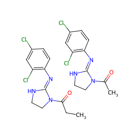 CC(=O)N1CCN/C1=N\c1ccc(Cl)cc1Cl.CCC(=O)N1CCN/C1=N\c1ccc(Cl)cc1Cl